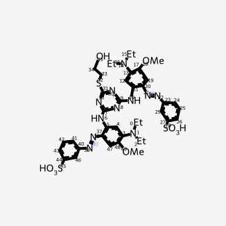 CCN(CC)c1cc(Nc2nc(Nc3cc(N(CC)CC)c(OC)cc3/N=N/c3cccc(S(=O)(=O)O)c3)nc(SCCO)n2)c(/N=N/c2cccc(S(=O)(=O)O)c2)cc1OC